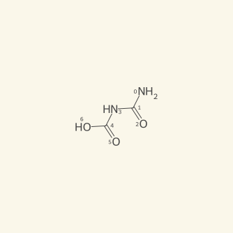 NC(=O)NC(=O)O